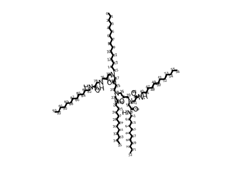 CCCCCCCCCCCCCCCCN(CCCCN(CCCCCCCCCCCCCC)CC(O)CN(CC(=O)NCCCCCCCCCCCC)CC(=O)NCCCCCCCCCCCC)CC(O)CNCC(=O)NCCCCCCCCCCCC